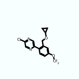 FC(F)(F)Oc1ccc(-c2cnc(Cl)cn2)c(COC2CC2)c1